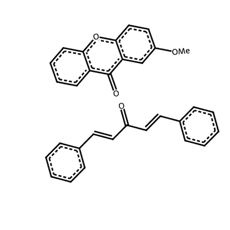 COc1ccc2oc3ccccc3c(=O)c2c1.O=C(C=Cc1ccccc1)C=Cc1ccccc1